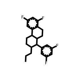 CCCC1CCC2c3cc(F)cc(F)c3CCC2C1c1cc(F)cc(F)c1